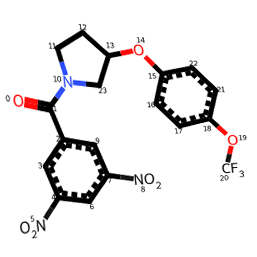 O=C(c1cc([N+](=O)[O-])cc([N+](=O)[O-])c1)N1CCC(Oc2ccc(OC(F)(F)F)cc2)C1